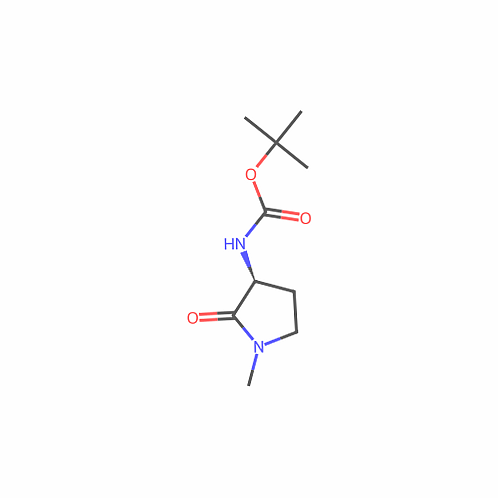 CN1CC[C@H](NC(=O)OC(C)(C)C)C1=O